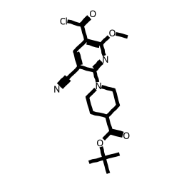 COc1nc(N2CCC(C(=O)OC(C)(C)C)CC2)c(C#N)cc1C(=O)Cl